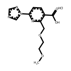 COCCOCc1nc(-n2cncn2)ccc1C(=O)O.Cl